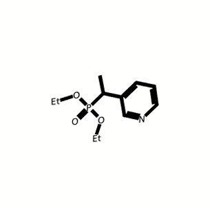 CCOP(=O)(OCC)C(C)c1cccnc1